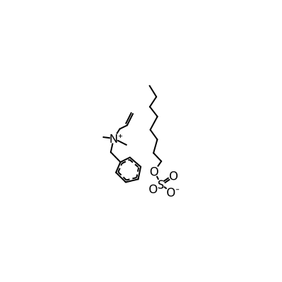 C=CC[N+](C)(C)Cc1ccccc1.CCCCCCCCOS(=O)(=O)[O-]